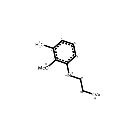 COc1c(C)cccc1NCCOC(C)=O